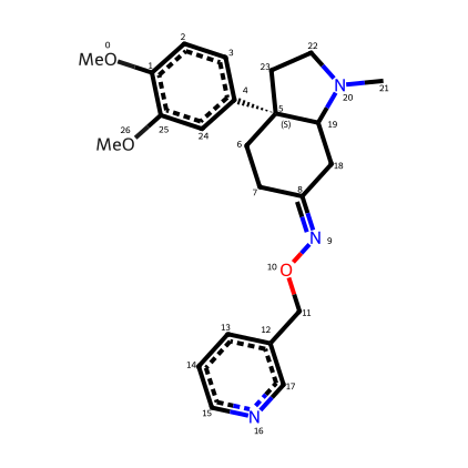 COc1ccc([C@@]23CCC(=NOCc4cccnc4)CC2N(C)CC3)cc1OC